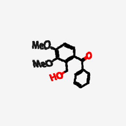 COc1ccc(C(=O)c2ccccc2)c(CO)c1OC